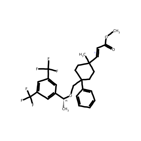 COC(=O)/C=C/C1(C)CCC(CO[C@H](C)c2cc(C(F)(F)F)cc(C(F)(F)F)c2)(c2ccccc2)CC1